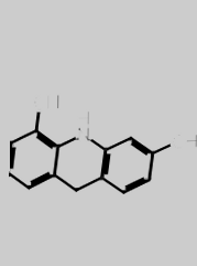 Cc1ccc2c(c1)Nc1c(C)cccc1C2